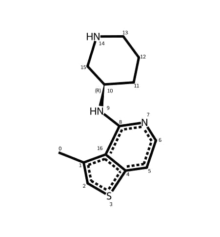 Cc1csc2ccnc(N[C@@H]3CCCNC3)c12